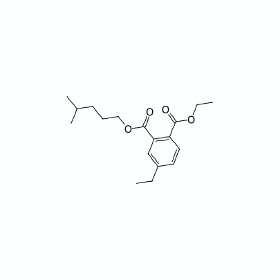 CCOC(=O)c1ccc(CC)cc1C(=O)OCCCC(C)C